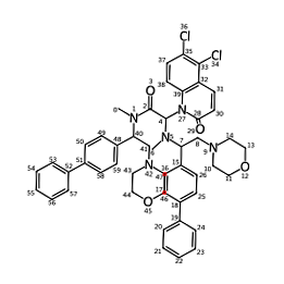 CN(C(=O)C(N(C)C(CN1CCOCC1)c1ccc(-c2ccccc2)cc1)n1c(=O)ccc2c(Cl)c(Cl)ccc21)C(CN1CCOCC1)c1ccc(-c2ccccc2)cc1